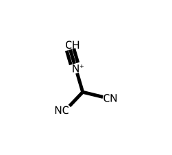 C#[N+]C(C#N)C#N